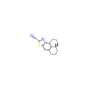 N#Cc1nc2c3c4c(cc2s1)CCC[C@@H]4CCC3